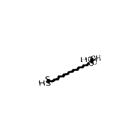 O=P(O)(O)OCCCCCCCCCCCCCCCCC(=S)S